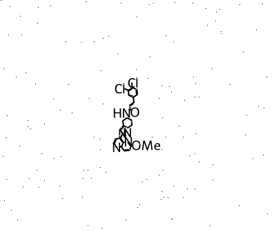 COc1ccc2nccc(-n3cc4c(n3)CCC(NC(=O)C=Cc3ccc(Cl)c(Cl)c3)C4)c2n1